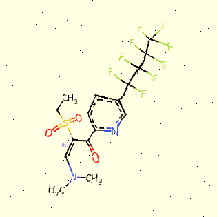 CCS(=O)(=O)/C(=C/N(C)C)C(=O)c1ccc(C(F)(F)C(F)(F)C(F)(F)C(F)(F)F)cn1